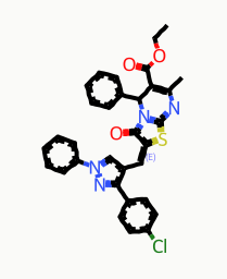 CCOC(=O)C1=C(C)N=c2s/c(=C/c3cn(-c4ccccc4)nc3-c3ccc(Cl)cc3)c(=O)n2C1c1ccccc1